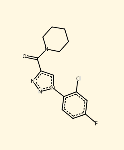 O=C(c1cn(-c2ccc(F)cc2Cl)nn1)N1CCCCC1